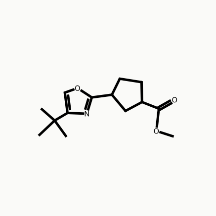 COC(=O)C1CCC(c2nc(C(C)(C)C)co2)C1